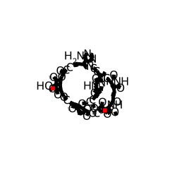 COC1C(OC)C23COC4OC5C67COC8OC9(OC)C8C8C(OC(=O)CCC#Cc%10cn(c%11ncnc(N)c%10%11)CCC(Cn%10cc(c(=O)[nH]c%10=O)C#CCCC(=O)OC(C6OC)C7C45OC)C(C)Cn4cc(c(=O)[nH]c4=O)/C=C/C(=O)NC4(C(OC)OC24)C13)C(OC)C89CO